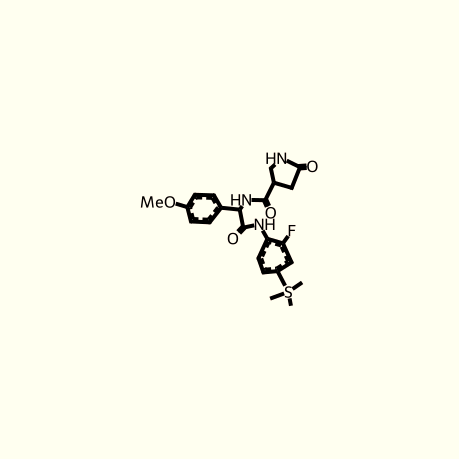 COc1ccc(C(NC(=O)C2CNC(=O)C2)C(=O)Nc2ccc(S(C)(C)C)cc2F)cc1